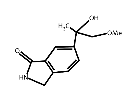 COCC(C)(O)c1ccc2c(c1)C(=O)NC2